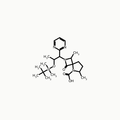 CC(O[Si](C)(C)C(C)(C)C)C(c1ncccn1)N1C(=O)C2(CCC(C)N2C(=O)O)C1C